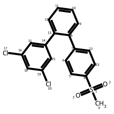 CS(=O)(=O)c1ccc(-c2ccccc2-c2cc(Cl)cc(Cl)c2)cc1